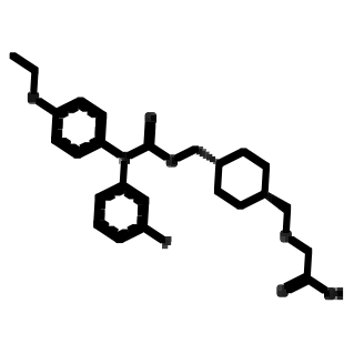 CCOc1ccc(N(C(=O)OC[C@H]2CC[C@H](COCC(=O)O)CC2)c2cccc(F)c2)cc1